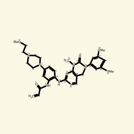 C=CC(=O)Nc1cc(N2CCN(CCOC)CC2)ccc1Nc1ncc2c(n1)N(C)C(=O)N(c1cc(OC)cc(OC)c1)C2